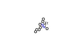 CCC1=C(c2cc3ccccc3cc2-c2ccccc2)N=C(c2ccc3c(ccc4c5ccccc5ccc34)c2)N=C(c2ccccc2)C1